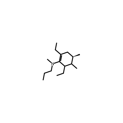 CCCN(C)C1=C(CC)C[C@@H](C)C(C)C1CC